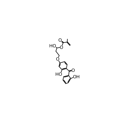 C=C(C)C(=O)OC(O)CCOc1ccc(C(=O)c2ccccc2O)c(O)c1